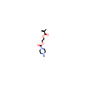 C=C(C)C(=O)OCCOC(=O)N1CCN(C)CC1